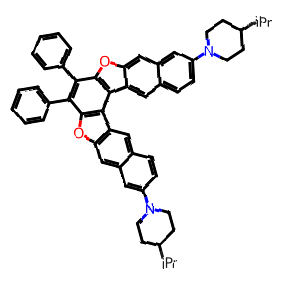 CC(C)C1CCN(c2ccc3cc4c(cc3c2)oc2c(-c3ccccc3)c(-c3ccccc3)c3oc5cc6cc(N7CCC(C(C)C)CC7)ccc6cc5c3c24)CC1